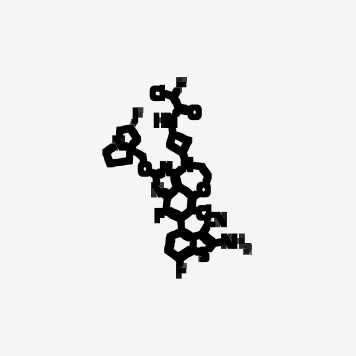 N#Cc1c(N)sc2c(F)ccc(-c3c(Cl)c4c5c(nc(OC[C@@]67CCCN6C[C@H](F)C7)nc5c3F)N(C3CC(NC(=O)C(F)Cl)C3)CCO4)c12